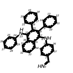 N=Cc1ccc(Nc2c(-c3ccccc3)c(-c3ccccc3)c(Nc3ccccc3)c3ccccc23)cc1